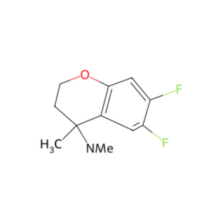 CNC1(C)CCOc2cc(F)c(F)cc21